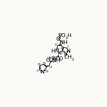 Cn1ncc2c1[C@@H](C(=O)NNC(=O)Cc1cccnc1)NC[C@@H]2NOS(=O)(=O)O